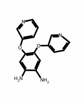 Nc1cc(Oc2cccnc2)c(Oc2cccnc2)cc1N